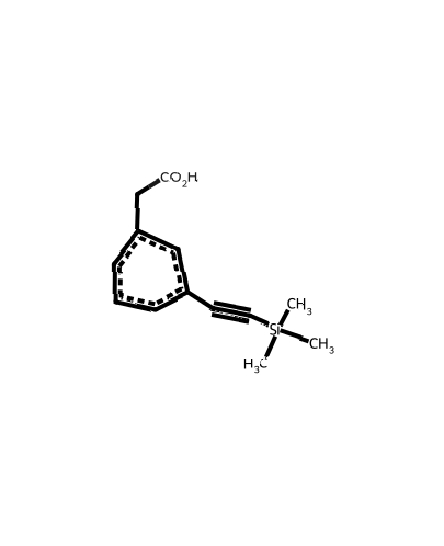 C[Si](C)(C)C#Cc1cccc(CC(=O)O)c1